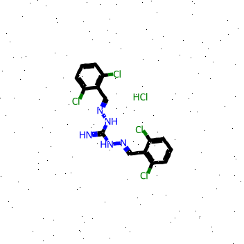 Cl.N=C(NN=Cc1c(Cl)cccc1Cl)NN=Cc1c(Cl)cccc1Cl